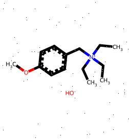 CC[N+](CC)(CC)Cc1ccc(OC)cc1.[OH-]